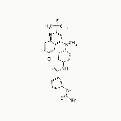 Cc1ccc2nc(C(C)(C)F)cc(N(C)C3CCC(NC(=O)c4cccc(NC(=O)C(C)C)c4)CC3)c2c1